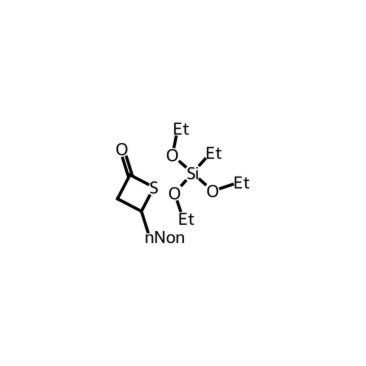 CCCCCCCCCC1CC(=O)S1.CCO[Si](CC)(OCC)OCC